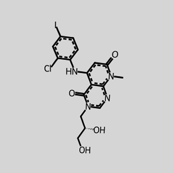 Cn1c(=O)cc(Nc2ccc(I)cc2Cl)c2c(=O)n(C[C@H](O)CO)cnc21